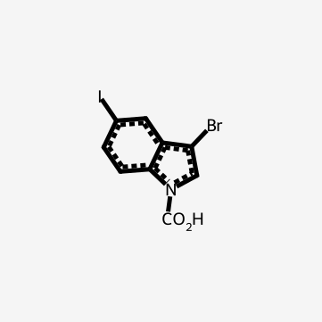 O=C(O)n1cc(Br)c2cc(I)ccc21